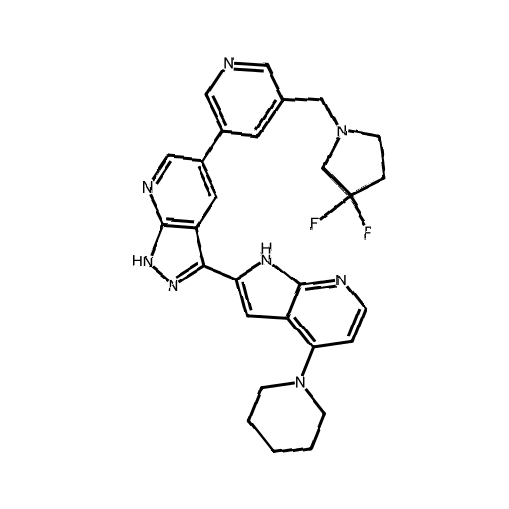 FC1(F)CCN(Cc2cncc(-c3cnc4[nH]nc(-c5cc6c(N7CCCCC7)ccnc6[nH]5)c4c3)c2)C1